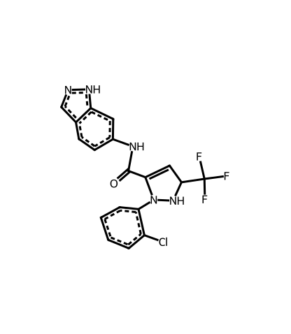 O=C(Nc1ccc2cn[nH]c2c1)C1=CC(C(F)(F)F)NN1c1ccccc1Cl